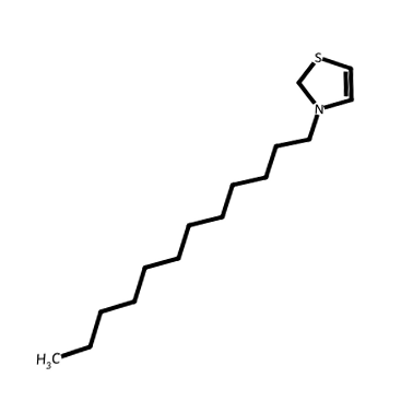 CCCCCCCCCCCCN1C=CSC1